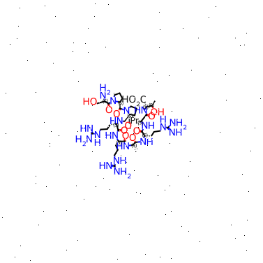 CC(C)[C@H](NC(=O)[C@H](CCCNC(=N)N)NC(=O)[C@H](C)NC(=O)[C@H](CCCNC(=N)N)NC(=O)[C@H](CCCNC(=N)N)NC(=O)[C@@H]1CCCN1C(=O)[C@@H]1CCCN1C(=O)[C@@H](N)CO)C(=O)N[C@H](C(=O)O)[C@@H](C)O